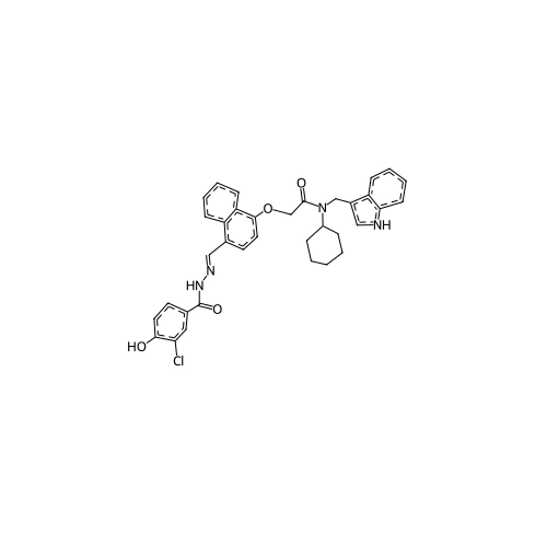 O=C(N/N=C/c1ccc(OCC(=O)N(Cc2c[nH]c3ccccc23)C2CCCCC2)c2ccccc12)c1ccc(O)c(Cl)c1